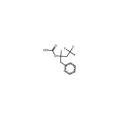 CC(Cc1ccccn1)(CC(F)(F)F)OC(=O)O